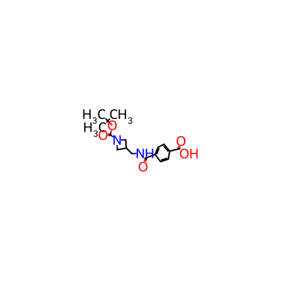 CC(C)(C)OC(=O)N1CC(CNC(=O)c2ccc(C(=O)O)cc2)C1